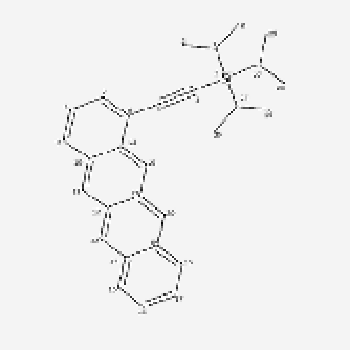 CC(C)[Si](C#Cc1cccc2cc3cc4ccccc4cc3cc12)(C(C)C)C(C)C